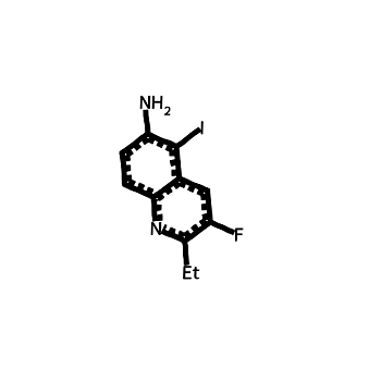 CCc1nc2ccc(N)c(I)c2cc1F